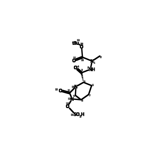 CN(NC(=O)[C@@H]1CCC2CN1C(=O)N2OS(=O)(=O)O)C(=O)OC(C)(C)C